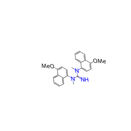 COc1ccc(N(C)C(=N)N(C)c2ccc(OC)c3ccccc23)c2ccccc12